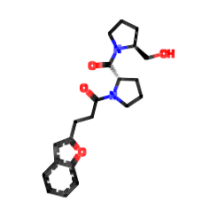 O=C([C@@H]1CCCN1C(=O)CCc1cc2ccccc2o1)N1CCC[C@H]1CO